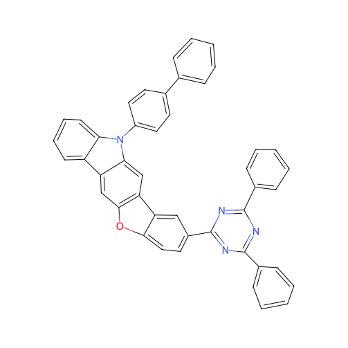 c1ccc(-c2ccc(-n3c4ccccc4c4cc5oc6ccc(-c7nc(-c8ccccc8)nc(-c8ccccc8)n7)cc6c5cc43)cc2)cc1